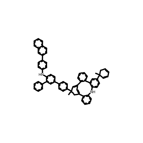 CC1(c2ccc3c(c2)-c2ccccc2C2=CC(C)(c4ccc(-c5ccc(Nc6ccc(-c7ccc8ccccc8c7)cc6)c(-c6ccccc6)c5)cc4)CC(=C2)c2ccccc2N3)C=CC=CC1